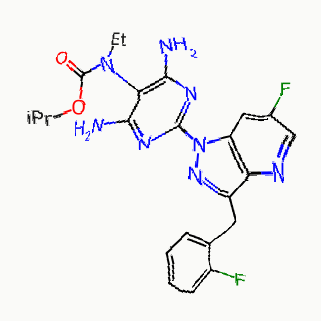 CCN(C(=O)OC(C)C)c1c(N)nc(-n2nc(Cc3ccccc3F)c3ncc(F)cc32)nc1N